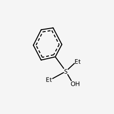 CCS(O)(CC)c1ccccc1